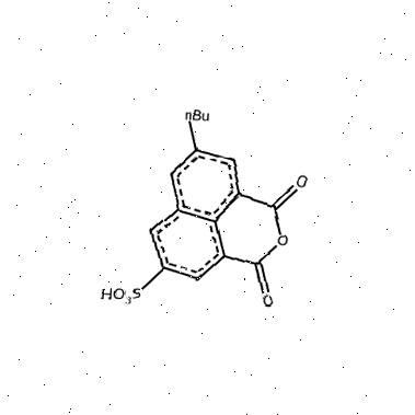 CCCCc1cc2c3c(cc(S(=O)(=O)O)cc3c1)C(=O)OC2=O